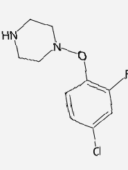 Fc1cc(Cl)ccc1ON1CCNCC1